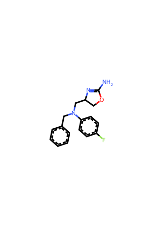 NC1=NC(CN(Cc2ccccc2)c2ccc(F)cc2)CO1